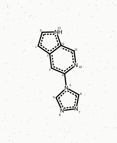 c1cc2cc(-n3cnnc3)ncc2[nH]1